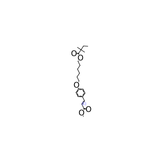 CCC(C)(C)C(=O)OCCCCCCOc1ccc(/C=C/C(=O)OC)cc1